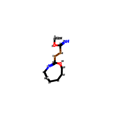 CCCCCCOC(=N)SS/C1=N/CCCCCCO1